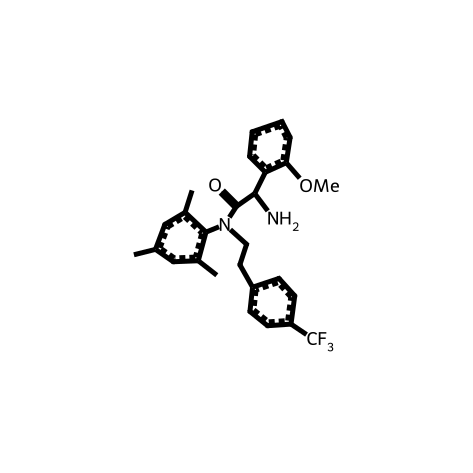 COc1ccccc1C(N)C(=O)N(CCc1ccc(C(F)(F)F)cc1)c1c(C)cc(C)cc1C